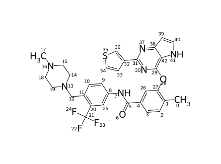 Cc1ccc(C(=O)Nc2ccc(CN3CCN(C)CC3)c(C(F)(F)F)c2)cc1Oc1nc(-c2ccsc2)nc2cc[nH]c12